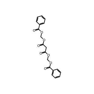 O=C(CC(=O)OCOC(=O)c1ccccc1)OCOC(=O)c1ccccc1